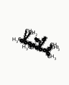 C=CCCCCCCC1(CCCCCCC=C)c2cc(C)ccc2-c2ccc(-c3ccc4c(c3)C(C)(C)c3cc(-c5ccc6c(c5)C(CCCCCc5ccc7c(c5)CC7)(CCCCCc5ccc7c(c5)CC7)c5cc(-c7ccc(N(c8ccc(C)cc8)c8ccc(C(C)CC)cc8)cc7)ccc5-6)ccc3-4)cc21